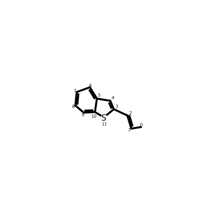 CC=Cc1cc2ccccc2s1